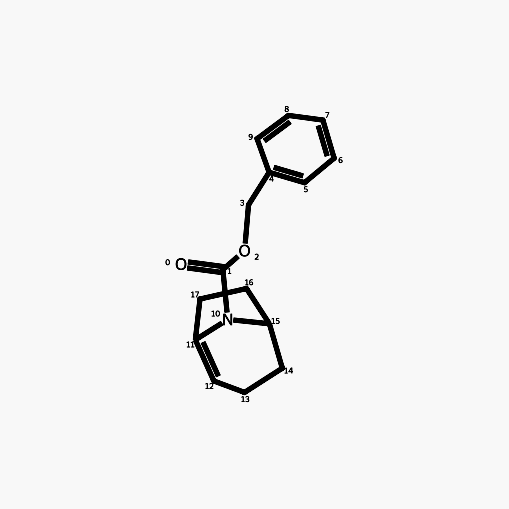 O=C(OCc1ccccc1)N1C2=CCCC1CC2